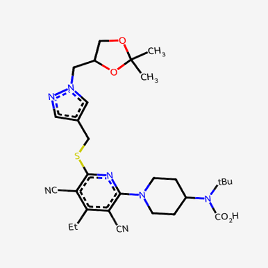 CCc1c(C#N)c(SCc2cnn(CC3COC(C)(C)O3)c2)nc(N2CCC(N(C(=O)O)C(C)(C)C)CC2)c1C#N